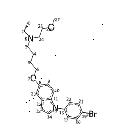 CCN(CCCCOc1ccc2c(ccn2-c2ccc(Br)cc2)c1)CCOC